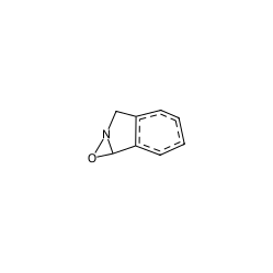 c1ccc2c(c1)CN1OC21